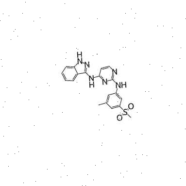 Cc1cc(Nc2nccc(Nc3n[nH]c4ccccc34)n2)cc(S(C)(=O)=O)c1